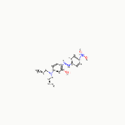 C=CCN(CC=C)c1ccc(N=Nc2ccc([N+](=O)[O-])cc2)c(O)c1